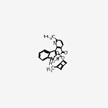 Cc1cc2ccc1-2.Cc1ccc(C(=O)S(N)(=O)=O)c(-c2c[nH]c3ccccc23)n1